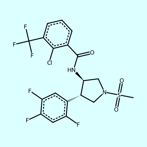 CS(=O)(=O)N1C[C@H](NC(=O)c2cccc(C(F)(F)F)c2Cl)[C@@H](c2cc(F)c(F)cc2F)C1